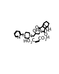 O=C(O)/C=C\C(=O)O.O=C1C2C3CC[C@@H](O3)[C@@H]2C(=O)N1CC(O)CN1CCN(c2ccccn2)CC1